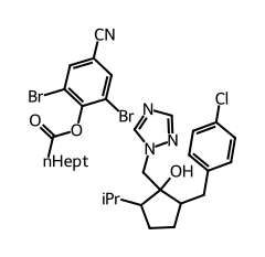 CC(C)C1CCC(Cc2ccc(Cl)cc2)C1(O)Cn1cncn1.CCCCCCCC(=O)Oc1c(Br)cc(C#N)cc1Br